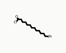 CC(C)CCCCCCCCCCCCC(=O)Cl